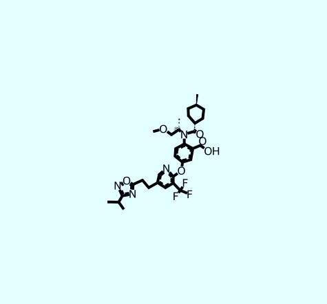 COC[C@H](C)N(c1ccc(Oc2ncc(CCc3nc(C(C)C)no3)cc2C(F)(F)F)cc1C(=O)O)C(=O)[C@H]1CC[C@H](C)CC1